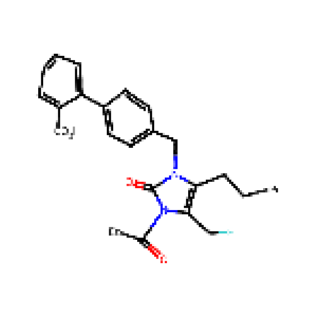 CCC(=O)n1c(CF)c(CCC(C)C)n(Cc2ccc(-c3ccccc3C(=O)O)cc2)c1=O